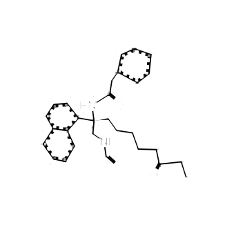 CCC(=O)CCCCC[C@](CNC=O)(NC(=O)Cc1ccccc1)c1cccc2ccccc12